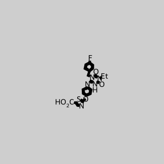 CCn1c(=O)[nH]/c(=N\c2ccc(Oc3ncc(C(=O)O)s3)cc2)n(Cc2ccc(F)cc2)c1=O